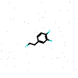 FCCc1ccc(F)c(F)c1